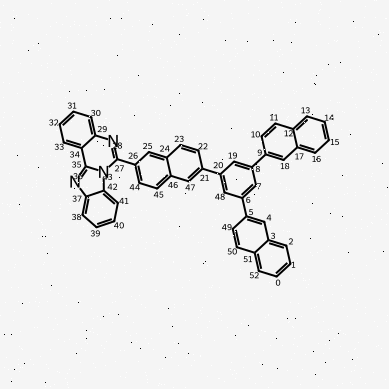 c1ccc2cc(-c3cc(-c4ccc5ccccc5c4)cc(-c4ccc5cc(-c6nc7ccccc7c7nc8ccccc8n67)ccc5c4)c3)ccc2c1